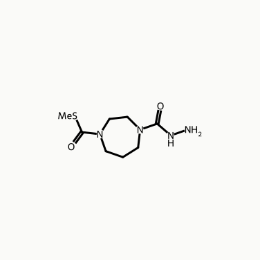 CSC(=O)N1CCCN(C(=O)NN)CC1